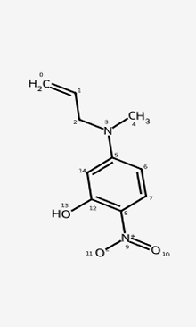 C=CCN(C)c1ccc([N+](=O)[O-])c(O)c1